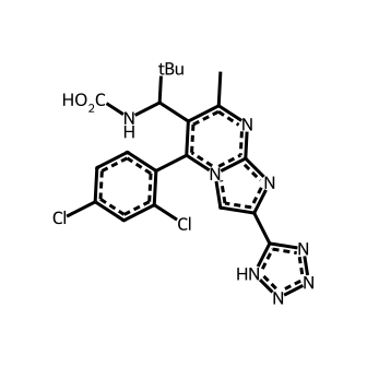 Cc1nc2nc(-c3nnn[nH]3)cn2c(-c2ccc(Cl)cc2Cl)c1C(NC(=O)O)C(C)(C)C